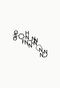 CS(=O)(=O)c1ccc(Nc2ncnc3c2nnn3C2CCN(c3ncccn3)CC2)c(F)c1